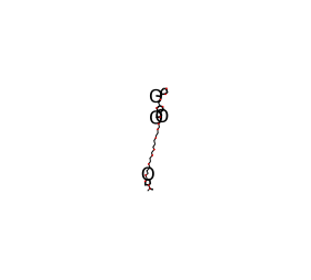 C=C(C)c1ccc(COCCCCCCCCCCCCCCCCCCC(=O)Oc2ccc(C=CC(=O)c3ccccc3)cc2)cc1